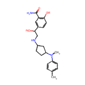 Cc1ccc(N(C)C2CCC(NCC(O)c3ccc(O)c(C(N)=O)c3)C2)cc1